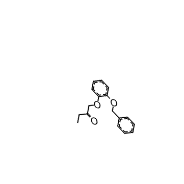 CCC(=O)COc1ccccc1OCc1ccccc1